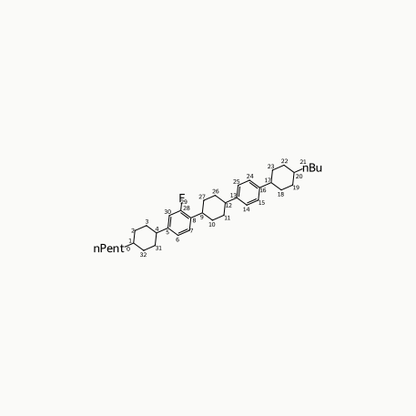 CCCCCC1CCC(c2ccc(C3CCC(c4ccc(C5CCC(CCCC)CC5)cc4)CC3)c(F)c2)CC1